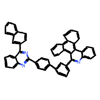 c1cc(-c2ccc(-c3nc(-c4ccc5ccccc5c4)c4ccccc4n3)cc2)cc(-c2nc3ccccc3c3c4ccccc4c4ccccc4c23)c1